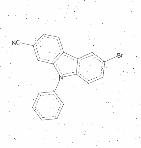 N#Cc1ccc2c3cc(Br)ccc3n(-c3ccccc3)c2c1